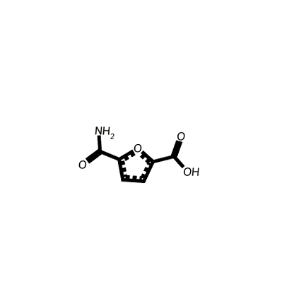 NC(=O)c1ccc(C(=O)O)o1